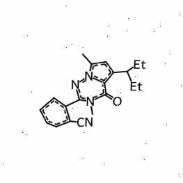 CCC(CC)c1cc(C)n2nc(-c3ccccc3C#N)n(C)c(=O)c12